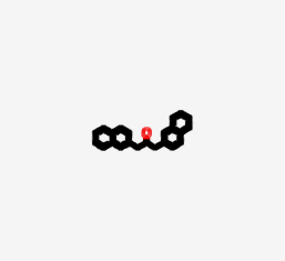 O=C(Cc1ccc2ccccc2c1)Cc1ccc2ccccc2c1